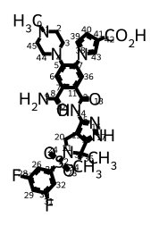 CN1CCN(c2cc(C(N)=O)c(C(=O)Nc3n[nH]c4c3CN(S(=O)(=O)c3cc(F)cc(F)c3)C4(C)C)cc2-n2ccc(C(=O)O)c2)CC1